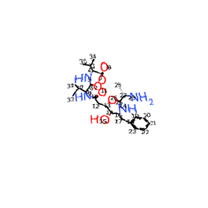 COC(=O)[C@@H](NC(=O)[C@@H](NC(=O)CC[C@H](O)[C@H](Cc1ccccc1)NC(=O)[C@H](C)N)C(C)C)C(C)C